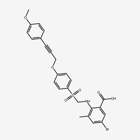 COc1ccc(C#CCOc2ccc(S(=O)(=O)CNc3c(C)cc(Br)cc3C(=O)O)cc2)cc1